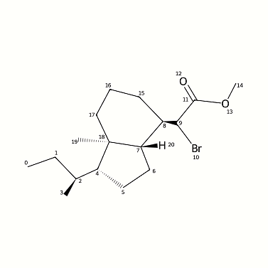 CC[C@H](C)[C@H]1CC[C@H]2[C@H](C(Br)C(=O)OC)CCC[C@]12C